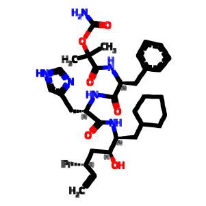 C=C[C@@H](C[C@H](O)[C@H](CC1CCCCC1)NC(=O)[C@H](Cc1c[nH]cn1)NC(=O)[C@H](Cc1ccccc1)NC(=O)C(C)(C)OC(N)=O)C(C)C